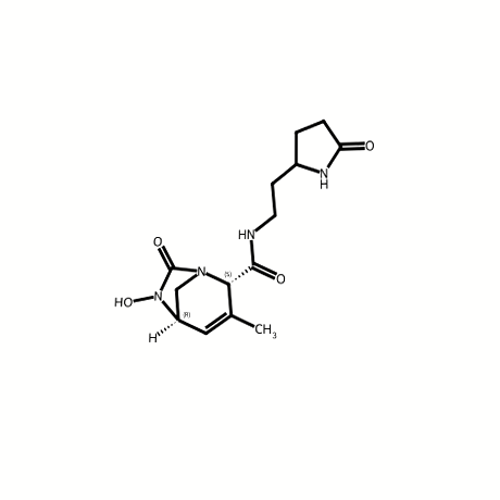 CC1=C[C@@H]2CN(C(=O)N2O)[C@@H]1C(=O)NCCC1CCC(=O)N1